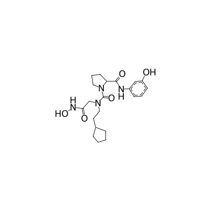 O=C(CN(CCC1CCCC1)C(=O)N1CCCC1C(=O)Nc1cccc(O)c1)NO